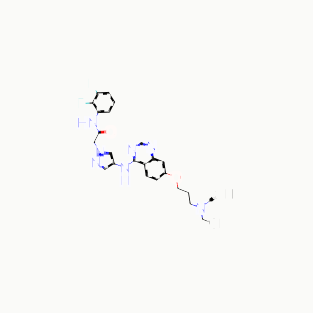 C#CN(CC)CCCOc1ccc2c(Nc3cnn(CC(=O)Nc4cccc(F)c4F)c3)ncnc2c1